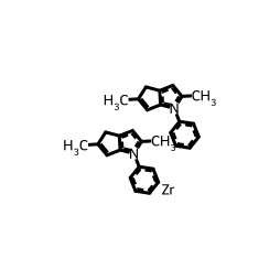 CC1=Cc2c(cc(C)n2-c2ccccc2)C1.CC1=Cc2c(cc(C)n2-c2ccccc2)C1.[Zr]